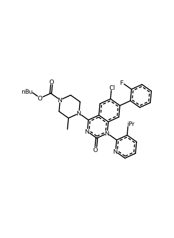 CCCCOC(=O)N1CCN(c2nc(=O)n(-c3ncccc3C(C)C)c3cc(-c4ccccc4F)c(Cl)cc23)C(C)C1